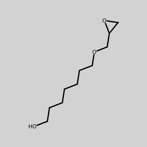 OCCCCCCCOCC1CO1